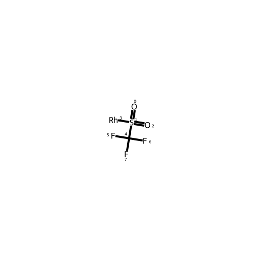 O=[S](=O)([Rh])C(F)(F)F